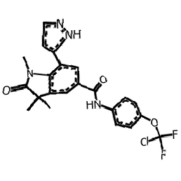 CN1C(=O)C(C)(C)c2cc(C(=O)Nc3ccc(OC(F)(F)Cl)cc3)cc(-c3ccn[nH]3)c21